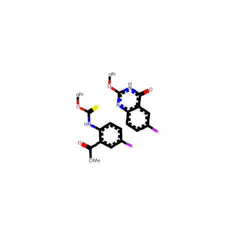 CCCOC(=S)Nc1ccc(I)cc1C(=O)OC.CCCOc1nc2ccc(I)cc2c(=O)[nH]1